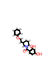 O=C(c1ccc(O)cc1O)N1CCCC(CCOc2ccccc2)C1